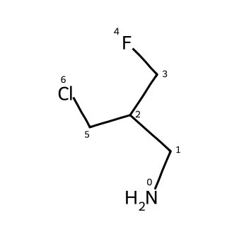 NCC(CF)CCl